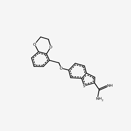 N=C(N)c1cc2ccc(OCc3cccc4c3OCCO4)cc2s1